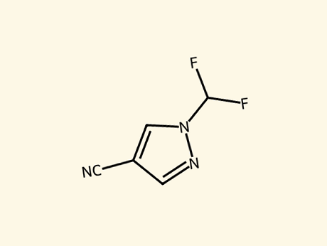 N#Cc1cnn(C(F)F)c1